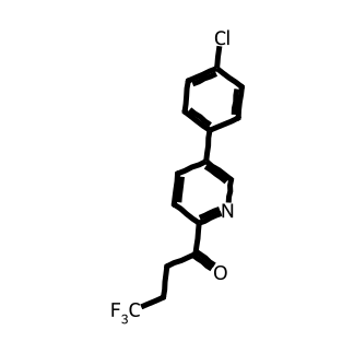 O=C(CCC(F)(F)F)c1ccc(-c2ccc(Cl)cc2)cn1